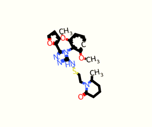 COc1cccc(OC)c1-n1c(NSCCN2C(=O)CCCC2C)nnc1-c1ccco1